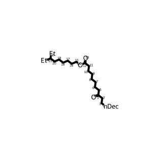 CCCCCCCCCCCCC(=O)CCCCCCCC(=O)OCCCCCCC(CC)CC